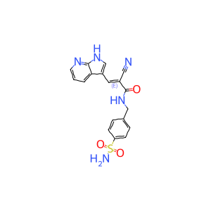 N#C/C(=C\c1c[nH]c2ncccc12)C(=O)NCc1ccc(S(N)(=O)=O)cc1